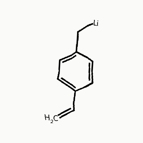 [Li][CH2]c1ccc(C=C)cc1